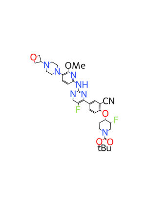 COc1nc(Nc2ncc(F)c(-c3ccc(O[C@H]4CCN(C(=O)OC(C)(C)C)C[C@H]4F)c(C#N)c3)n2)ccc1N1CCN(C2COC2)CC1